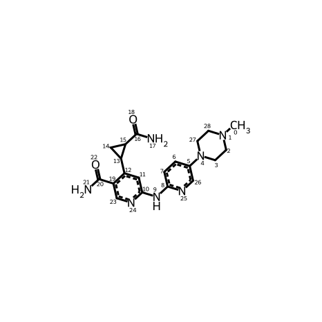 CN1CCN(c2ccc(Nc3cc(C4CC4C(N)=O)c(C(N)=O)cn3)nc2)CC1